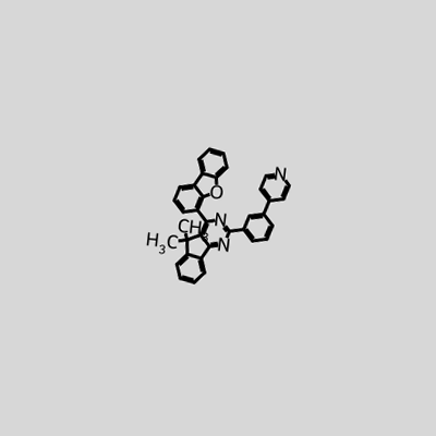 CC1(C)c2ccccc2-c2nc(-c3cccc(-c4ccncc4)c3)nc(-c3cccc4c3oc3ccccc34)c21